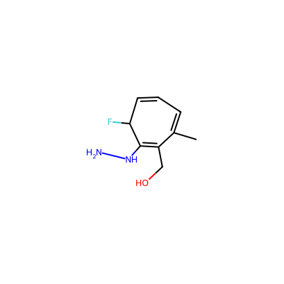 CC1=CC=CC(F)C(NN)=C1CO